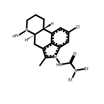 CCCN1CCC[C@@H]2c3cc(Cl)cc4c3c(c(C)n4NC(=O)N(CC)CC)C[C@H]21